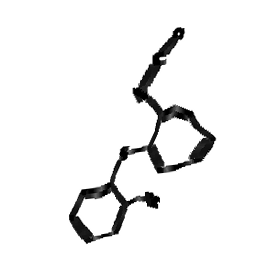 O=C=Nc1ccccc1Sc1ccccc1Br